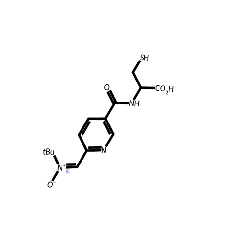 CC(C)(C)/[N+]([O-])=C\c1ccc(C(=O)NC(CS)C(=O)O)cn1